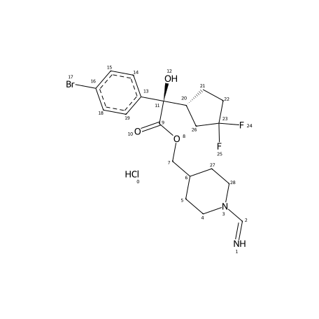 Cl.N=CN1CCC(COC(=O)[C@](O)(c2ccc(Br)cc2)[C@@H]2CCC(F)(F)C2)CC1